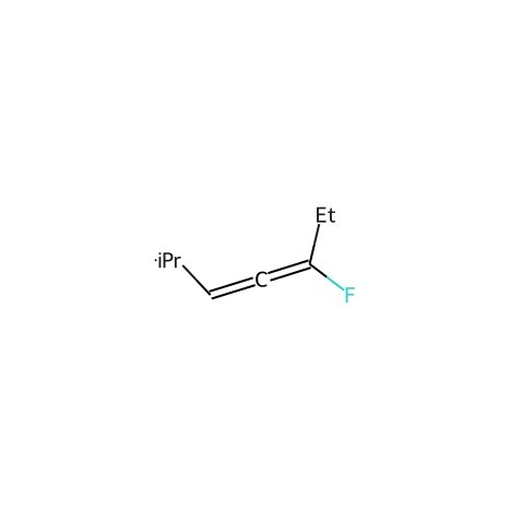 CCC(F)=C=C[C](C)C